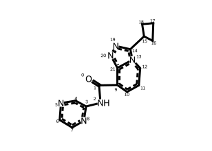 O=C(Nc1cnccn1)c1cccn2c(C3CCC3)nnc12